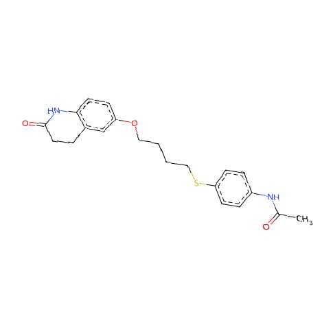 CC(=O)Nc1ccc(SCCCCOc2ccc3c(c2)CCC(=O)N3)cc1